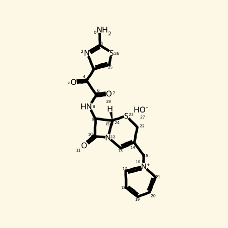 Nc1nc(C(=O)C(=O)NC2C(=O)N3C=C(C[n+]4ccccc4)CS[C@@H]23)cs1.[OH-]